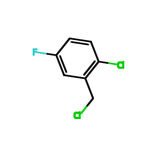 Fc1ccc(Cl)c(CCl)c1